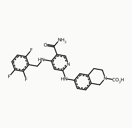 NC(=O)c1cnc(Nc2ccc3c(c2)CCN(C(=O)O)C3)cc1NCc1c(F)ccc(F)c1F